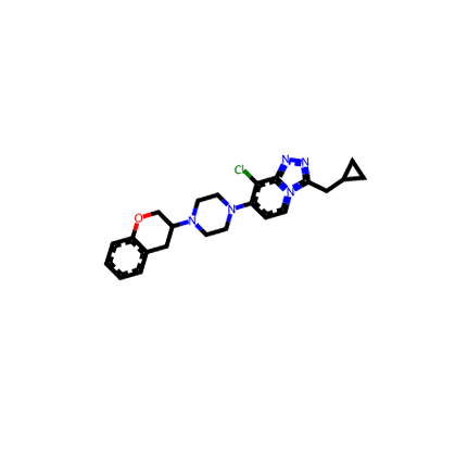 Clc1c(N2CCN(C3COc4ccccc4C3)CC2)ccn2c(CC3CC3)nnc12